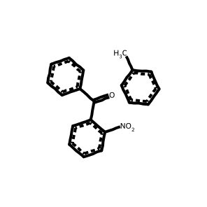 Cc1ccccc1.O=C(c1ccccc1)c1ccccc1[N+](=O)[O-]